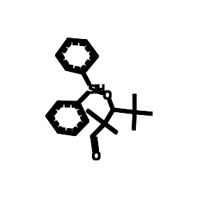 CC(C)(C)C(O[SiH](c1ccccc1)c1ccccc1)C(C)(C)C=O